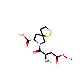 COC(=O)CC(C)C(=O)N1CC2(CCSS2)C[C@H]1C(=O)O